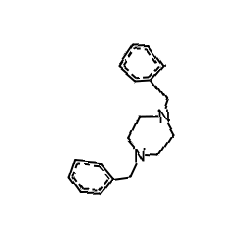 c1ccc(CN2CCN(Cc3ccccc3)CC2)cc1